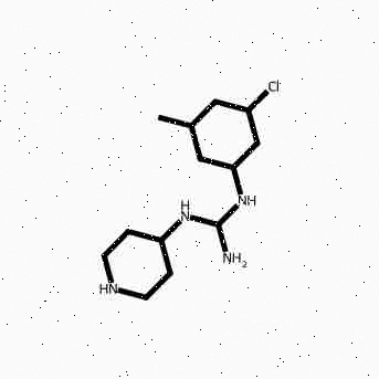 CC1CC(Cl)CC(NC(N)NC2CCNCC2)C1